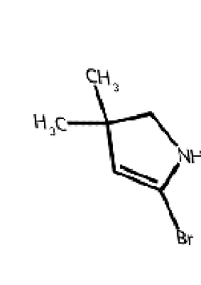 CC1(C)C=C(Br)NC1